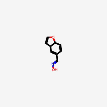 ON=CC1=CC2C=COC2C=C1